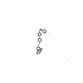 CCOc1ccc(CCc2ccc(-c3ccc(C[C@H](C)c4ccccc4)cc3)cc2)cc1F